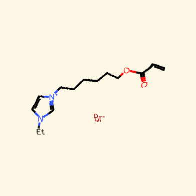 C=CC(=O)OCCCCCC[n+]1ccn(CC)c1.[Br-]